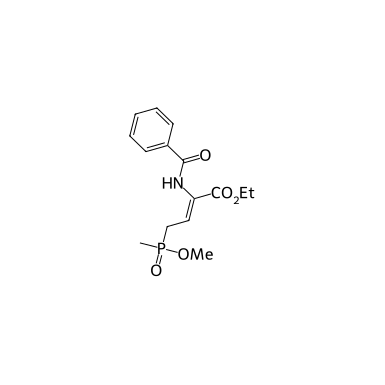 CCOC(=O)/C(=C/CP(C)(=O)OC)NC(=O)c1ccccc1